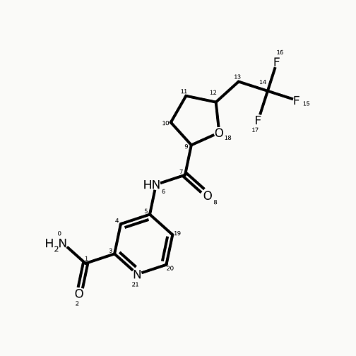 NC(=O)c1cc(NC(=O)C2CCC(CC(F)(F)F)O2)ccn1